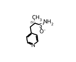 C[C@@H](Cc1ccncc1)[S+](N)[O-]